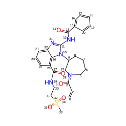 C=CC(=O)N1CCCCC(n2c(NC(=O)c3ccccc3)nc3cccc(C(=O)NCCS(C)(=O)=O)c32)C1